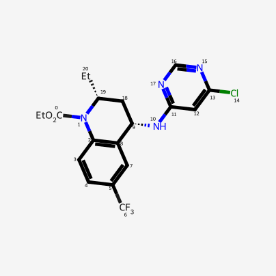 CCOC(=O)N1c2ccc(C(F)(F)F)cc2[C@@H](Nc2cc(Cl)ncn2)C[C@H]1CC